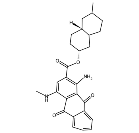 CNc1cc(C(=O)O[C@@H]2CC[C@@H]3CC(C)CCC3C2)c(N)c2c1C(=O)c1ccccc1C2=O